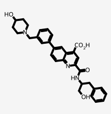 O=C(NC(CO)Cc1ccccc1)c1cc(C(=O)O)c2cc(-c3cccc(CN4CCC(O)CC4)c3)ccc2n1